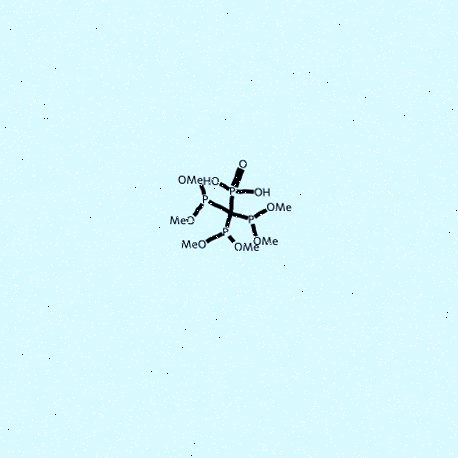 COP(OC)C(P(OC)OC)(P(OC)OC)P(=O)(O)O